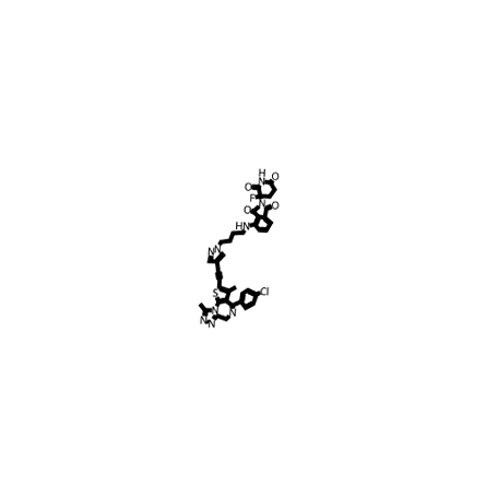 Cc1c(C#Cc2cnn(CCCCNc3cccc4c3C(=O)N(C3(F)CCC(=O)NC3=O)C4=O)c2)sc2c1C(c1ccc(Cl)cc1)=NCc1nnc(C)n1-2